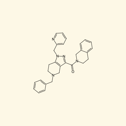 O=C(c1nn(Cc2ccccn2)c2c1CN(Cc1ccccc1)CC2)N1CCc2ccccc2C1